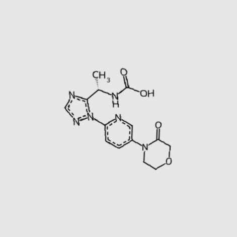 C[C@H](NC(=O)O)c1ncnn1-c1ccc(N2CCOCC2=O)cn1